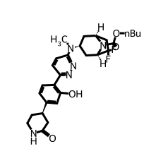 CCCCOC(=O)N1[C@H]2C[C@@H](N(C)c3ccc(-c4ccc([C@@H]5CCNC(=O)C5)cc4O)nn3)C[C@@H]1C(F)(F)C2